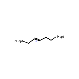 CC[CH]CCCCCC/C=C/CCCCCCCC